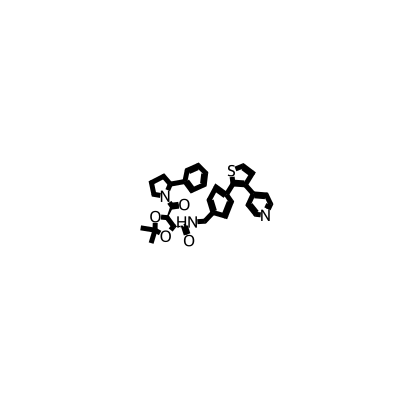 CC1(C)O[C@@H](C(=O)NCc2ccc(-c3sccc3-c3ccncc3)cc2)[C@H](C(=O)N2CCCC2c2ccccc2)O1